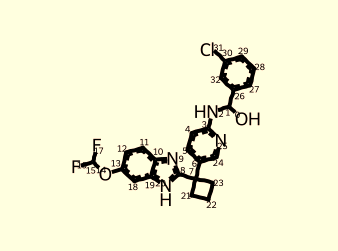 OC(Nc1ccc(C2(c3nc4ccc(OC(F)F)cc4[nH]3)CCC2)cn1)c1cccc(Cl)c1